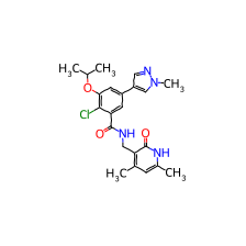 Cc1cc(C)c(CNC(=O)c2cc(-c3cnn(C)c3)cc(OC(C)C)c2Cl)c(=O)[nH]1